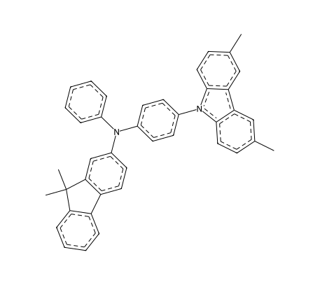 Cc1ccc2c(c1)c1cc(C)ccc1n2-c1ccc(N(c2ccccc2)c2ccc3c(c2)C(C)(C)c2ccccc2-3)cc1